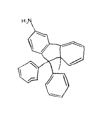 CC12C=CC=C=C1c1cc(N)ccc1C2(c1ccccc1)c1ccccc1